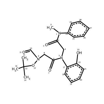 CN(C(=O)CN(C(=O)CN(C=O)OC(C)(C)C)c1ccccc1O)c1ccccc1